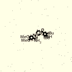 COc1cc2nc(N3CCCN(C(=O)c4cc(C(C)(C)C)c(O)c(C(C)(C)C)c4)CC3)nc(N)c2cc1OC